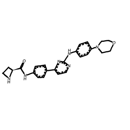 O=C(Nc1ccc(-c2ccnc(Nc3ccc(N4CCOCC4)cc3)n2)cc1)[C@@H]1CCN1